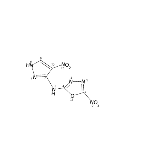 O=[N+]([O-])c1nnc(Nc2n[nH]cc2[N+](=O)[O-])o1